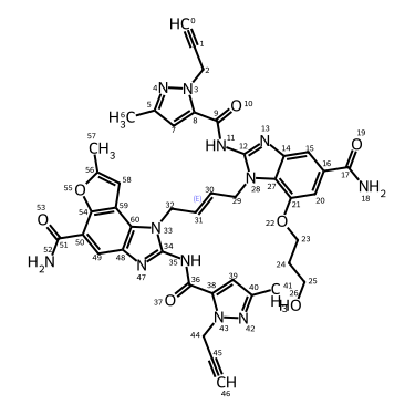 C#CCn1nc(C)cc1C(=O)Nc1nc2cc(C(N)=O)cc(OCCCO)c2n1C/C=C/Cn1c(NC(=O)c2cc(C)nn2CC#C)nc2cc(C(N)=O)c3oc(C)cc3c21